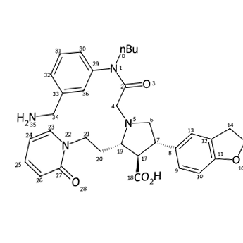 CCCCN(C(=O)CN1C[C@H](c2ccc3c(c2)CCO3)[C@@H](C(=O)O)[C@@H]1CCn1ccccc1=O)c1cccc(CN)c1